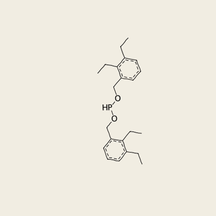 CCc1cccc(COPOCc2cccc(CC)c2CC)c1CC